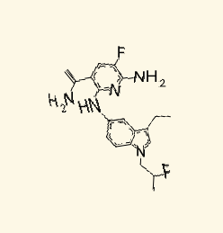 C=C(N)c1cc(F)c(N)nc1Nc1ccc2c(c1)c(CC)cn2CC(C)F